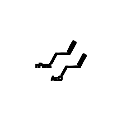 C=CCCCCCC.C=CCOC(C)=O